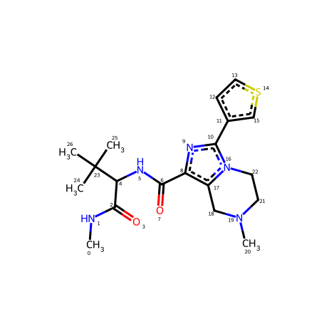 CNC(=O)C(NC(=O)c1nc(-c2ccsc2)n2c1CN(C)CC2)C(C)(C)C